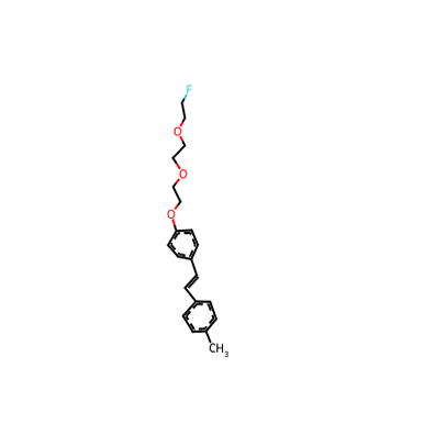 Cc1ccc(/C=C/c2ccc(OCCOCCOCCF)cc2)cc1